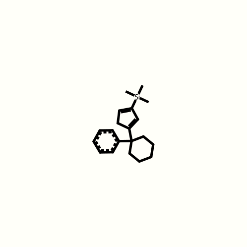 C[Si](C)(C)C1=CCC(C2(c3ccccc3)CCCCC2)=C1